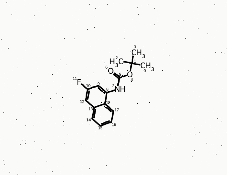 CC(C)(C)OC(=O)Nc1cc(F)cc2ccccc12